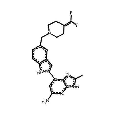 Cc1nc2c(-c3cc4cc(CN5CCC(=C(F)F)CC5)ccc4[nH]3)cc(N)nc2[nH]1